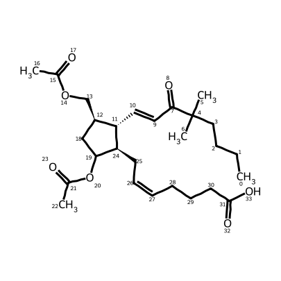 CCCCC(C)(C)C(=O)/C=C/[C@H]1[C@H](COC(C)=O)CC(OC(C)=O)[C@@H]1C/C=C\CCCC(=O)O